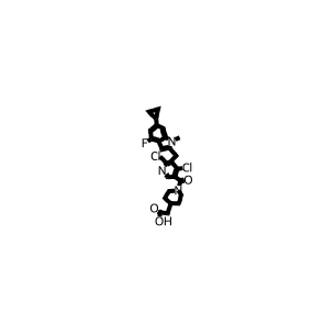 Cn1c(Cc2c(Cl)ncc(C(=O)N3CCC(CC(=O)O)CC3)c2Cl)cc2c(F)cc(C3CC3)cc21